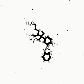 CCCCC(CC)C(CC)(CC)c1ccc(O)c(-n2nc3ccccc3n2)c1